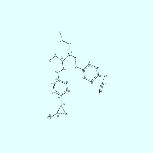 CC#N.CCCN(CCc1ccccc1)C(CC)CCc1ccc(C2CC2Cl)cc1